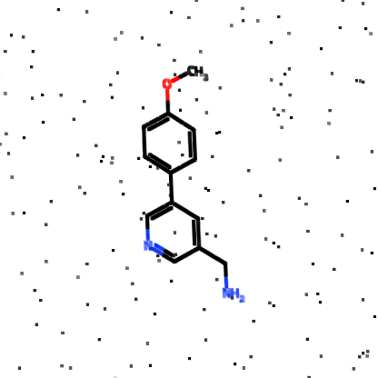 COc1ccc(-c2cncc(CN)c2)cc1